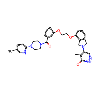 Cc1c(N2Cc3cccc(OCCOc4cccc(C(=O)N5CCN(c6ccc(C#N)cn6)CC5)c4)c3C2)cn[nH]c1=O